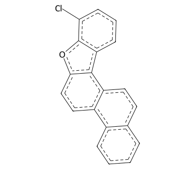 Clc1cccc2c1oc1ccc3c4ccccc4ccc3c12